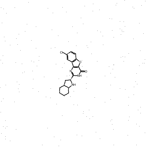 O=c1[nH]c([C@@H]2CC3CCCCC3N2)nc2c1oc1ccc(Cl)cc12